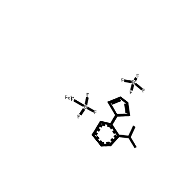 CC(C)c1ccccc1C1C=CC=C1.F[B-](F)(F)F.F[B-](F)(F)F.[Fe+2]